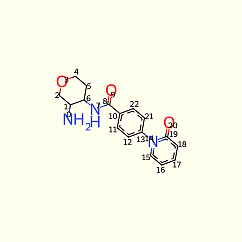 NC1COCCC1NC(=O)c1ccc(-n2ccccc2=O)cc1